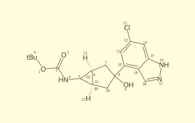 CC(C)(C)OC(=O)NC1[C@H]2CC(O)(c3cc(Cl)cc4[nH]ncc34)C[C@@H]12